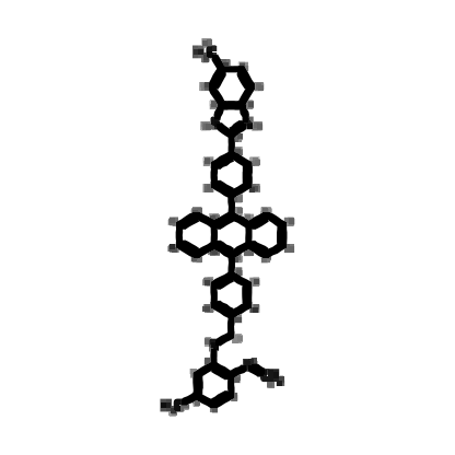 C=Nc1ccc(C)cc1SCc1ccc(-c2c3ccccc3c(-c3ccc(-c4nc5ccc(C)cc5s4)cc3)c3ccccc23)cc1